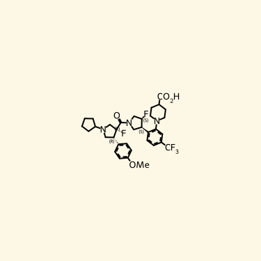 COc1ccc([C@@H]2CN(C3CCCC3)C[C@@]2(F)C(=O)N2C[C@@H](F)[C@@H](c3ccc(C(F)(F)F)cc3N3CCC(C(=O)O)CC3)C2)cc1